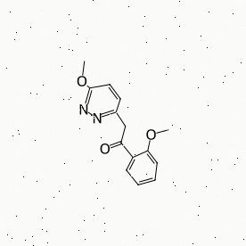 COc1ccc(CC(=O)c2ccccc2OC)nn1